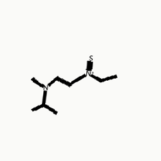 CC[N+](=S)CCN(C)C(C)C